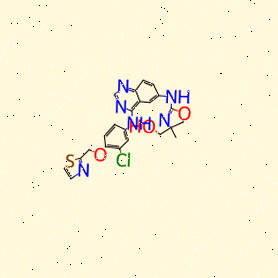 CC1(CO)COC(Nc2ccc3ncnc(Nc4ccc(OCc5nccs5)c(Cl)c4)c3c2)=N1